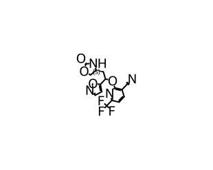 N#Cc1ccc(C(F)(F)F)nc1OC(C[C@H]1COC(=O)N1)c1ccno1